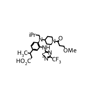 COCCC(=O)N1CCC(N(CC(C)C)c2ccc(C(C)CC(=O)O)cc2Nc2nc(C(F)(F)F)ns2)CC1